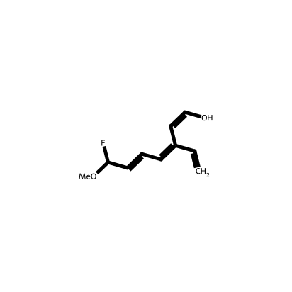 C=CC(/C=C\O)=C/C=C/C(F)OC